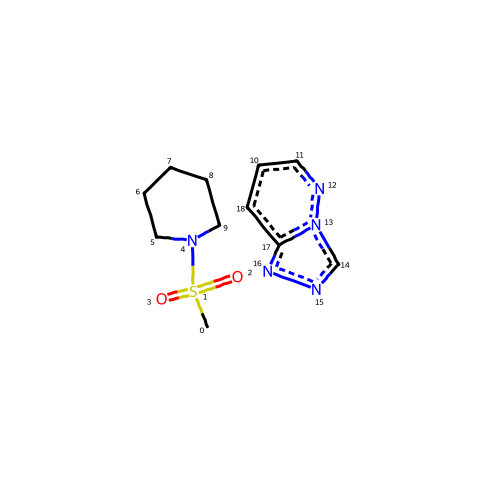 CS(=O)(=O)N1CCCCC1.c1cnn2cnnc2c1